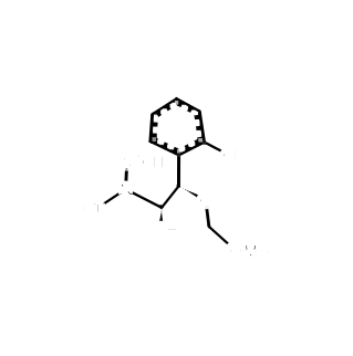 COCO[C@H](c1ccccc1Cl)[C@@H](C)N(C(C)C)S(=O)(=O)O